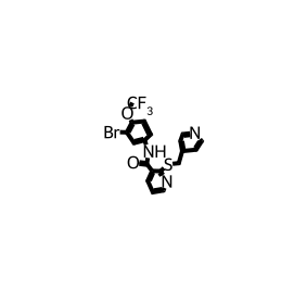 O=C(Nc1ccc(OC(F)(F)F)c(Br)c1)c1cccnc1SCc1ccncc1